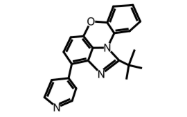 CC(C)(C)c1nc2c(-c3ccncc3)ccc3c2n1-c1ccccc1O3